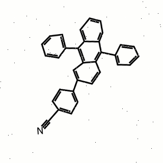 N#Cc1ccc(-c2ccc3c(-c4ccccc4)c4ccccc4c(-c4ccccc4)c3c2)cc1